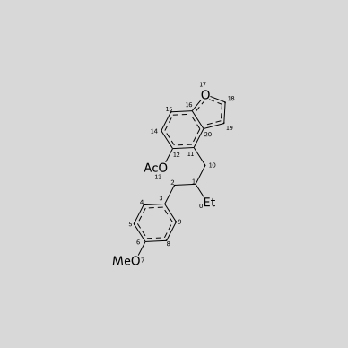 CCC(Cc1ccc(OC)cc1)Cc1c(OC(C)=O)ccc2occc12